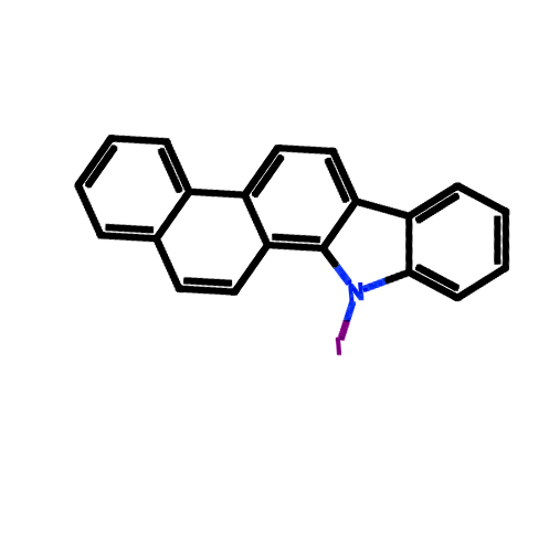 In1c2ccccc2c2ccc3c4ccccc4ccc3c21